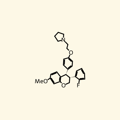 COc1ccc2c(c1)OC[C@@H](c1ccccc1F)[C@H]2c1ccc(OCCN2CCCC2)cc1